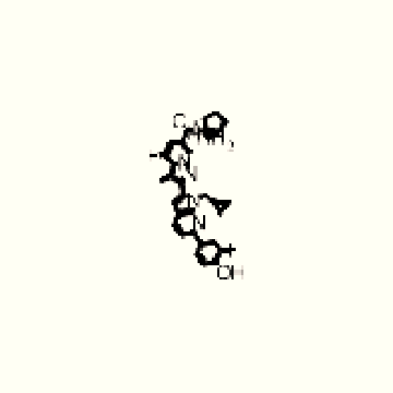 Cc1c(-c2cc3ccc(-c4ccc(O)c(F)c4)nc3n2CC2CC2)nn2cc(C(=O)N3CC4CCC3[C@@H]4N)cc(F)c12